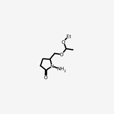 CCOC(C)OCC1CCC(=O)N1N